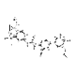 CCOc1cc(-c2ccc(NC(=O)Nc3ccc(C4(CO)CC4)c(C(F)(F)F)c3)c(F)c2)c[nH]c1=O